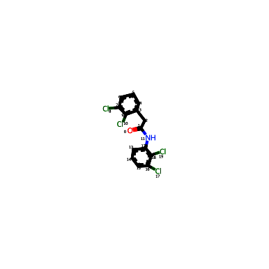 O=C(Cc1cccc(Cl)c1Cl)Nc1cccc(Cl)c1Cl